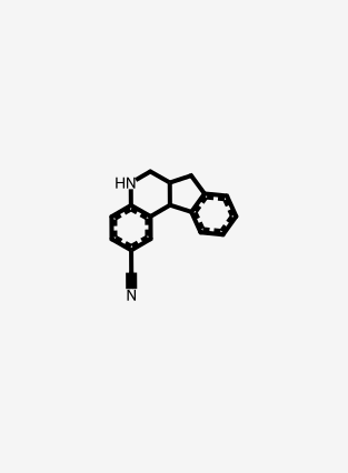 N#Cc1ccc2c(c1)C1c3ccccc3CC1CN2